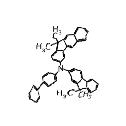 CC1(C)c2ccccc2-c2ccc(N(c3ccc(-c4ccccc4)cc3)c3ccc4c(c3)-c3cc5ccccc5cc3C4(C)C)cc21